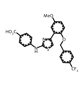 COc1ccc(OCc2ccc(C(F)(F)F)cc2)c(-c2csc(Nc3ccc(C(=O)O)cc3)n2)c1